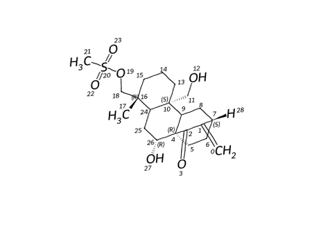 C=C1C(=O)[C@]23CC[C@H]1CC2[C@]1(CO)CCC[C@@](C)(COS(C)(=O)=O)C1C[C@H]3O